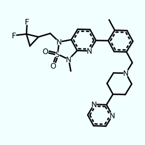 Cc1ccc(CN2CCC(c3ncccn3)CC2)cc1-c1ccc2c(n1)N(C)S(=O)(=O)N2CC1CC1(F)F